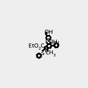 CCOC(=O)c1c(CSc2ccccc2)n(C)c2cc(-c3cccnc3)c(O)c(CN3CCCC(CO)C3)c12